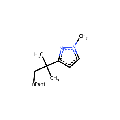 CCCCCCC(C)(C)c1ccn(C)n1